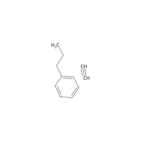 C#C.CCCc1ccccc1